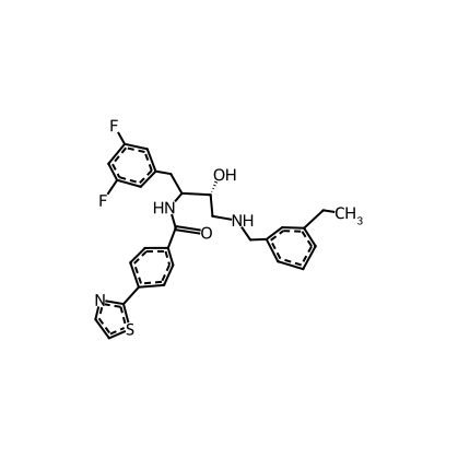 CCc1cccc(CNC[C@@H](O)C(Cc2cc(F)cc(F)c2)NC(=O)c2ccc(-c3nccs3)cc2)c1